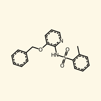 Cc1ccccc1S(=O)(=O)Nc1ncccc1OCc1ccccc1